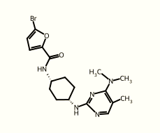 Cc1cnc(N[C@H]2CC[C@@H](NC(=O)c3ccc(Br)o3)CC2)nc1N(C)C